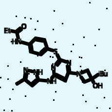 CCC(=O)Nc1ccc(Sc2nc(Nc3cc(C)n[nH]3)cc(N3CC(O)(C(C)CC)C3)n2)cc1